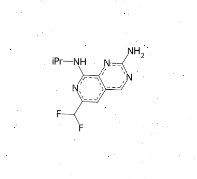 CC(C)Nc1nc(C(F)F)cc2cnc(N)nc12